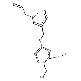 O=CCc1cccc(COc2ccc(CO)c(CO)c2)c1